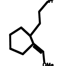 COC=C1CCCCC1CCC(C)C